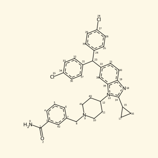 NC(=O)c1cccc(CN2CCC(n3c(C4CC4)nc4ccc(C(c5ccc(Cl)cc5)c5ccc(Cl)cc5)cc43)CC2)c1